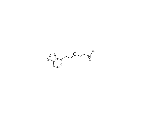 CCN(CC)CCOCCc1cccc2sccc12